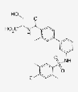 Cc1cc(S(=O)(=O)Nc2cccc(-c3cc(C)c(C(=O)NC(CO)C(=O)O)c(C)c3)c2)c(C)cc1Cl